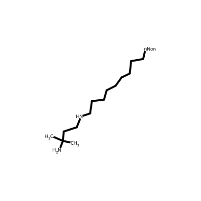 CCCCCCCCCCCCCCCCCCNCCC(C)(C)N